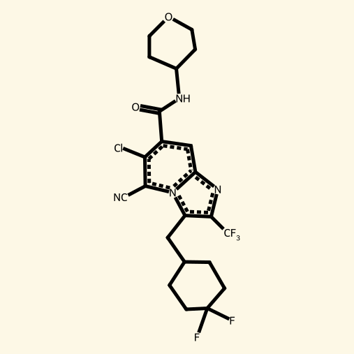 N#Cc1c(Cl)c(C(=O)NC2CCOCC2)cc2nc(C(F)(F)F)c(CC3CCC(F)(F)CC3)n12